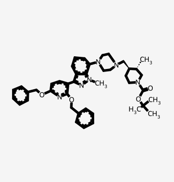 C[C@@H]1CN(C(=O)OC(C)(C)C)CC[C@H]1CN1CCN(c2cccc3c(-c4ccc(OCc5ccccc5)nc4OCc4ccccc4)nn(C)c23)CC1